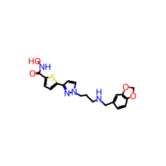 O=C(NO)c1ccc(-c2ccn(CCCNCc3ccc4c(c3)OCO4)n2)s1